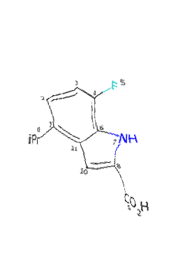 CC(C)c1ccc(F)c2[nH]c(C(=O)O)cc12